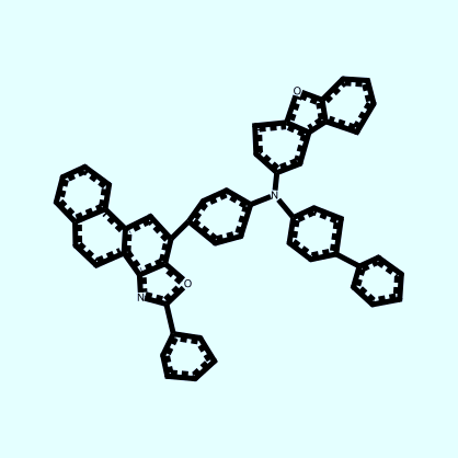 c1ccc(-c2ccc(N(c3ccc(-c4cc5c6ccccc6ccc5c5nc(-c6ccccc6)oc45)cc3)c3ccc4oc5ccccc5c4c3)cc2)cc1